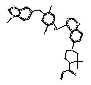 C=CC(=O)N1CCN(c2ccc3ncnc(Nc4cc(C)c(Oc5ccc6c(c5)ncn6C)cc4F)c3n2)CC1(C)C